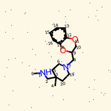 CNCC1(C)CCN(CC2COc3ccccc3O2)CC1